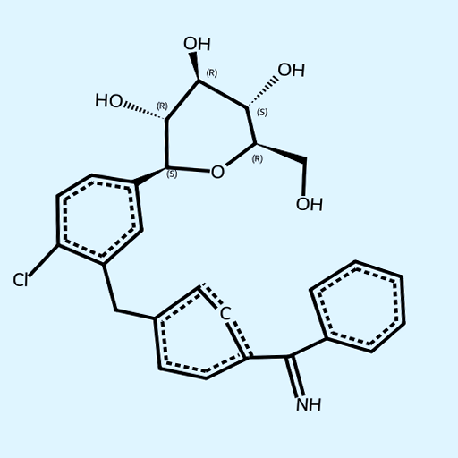 N=C(c1ccccc1)c1ccc(Cc2cc([C@@H]3O[C@H](CO)[C@@H](O)[C@H](O)[C@H]3O)ccc2Cl)cc1